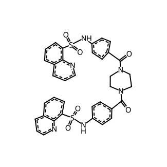 O=C(c1ccc(NS(=O)(=O)c2cccc3cccnc23)cc1)N1CCN(C(=O)c2ccc(NS(=O)(=O)c3cccc4cccnc34)cc2)CC1